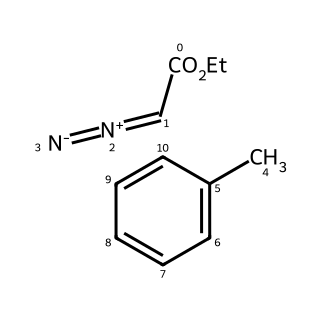 CCOC(=O)C=[N+]=[N-].Cc1ccccc1